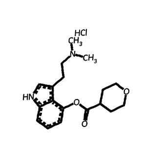 CN(C)CCc1c[nH]c2cccc(OC(=O)C3CCOCC3)c12.Cl